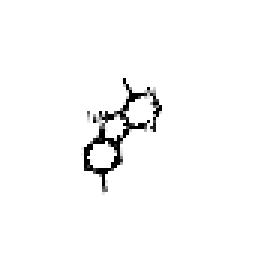 Cc1ccc2[nH]c3c(C)ncnc3c2c1